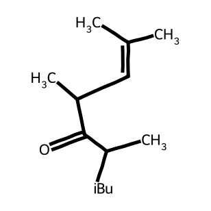 CCC(C)C(C)C(=O)C(C)C=C(C)C